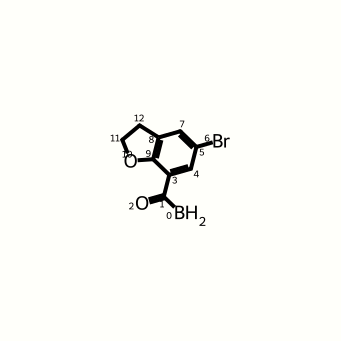 BC(=O)c1cc(Br)cc2c1OCC2